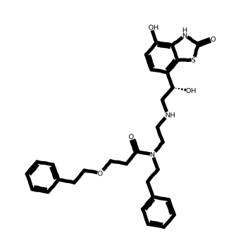 O=C(CCOCCc1ccccc1)N(CCNC[C@@H](O)c1ccc(O)c2[nH]c(=O)sc12)CCc1ccccc1